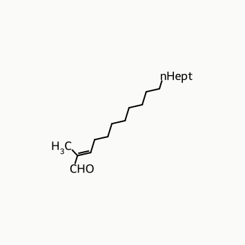 CCCCCCCCCCCCCCCC=C(C)C=O